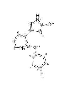 O=c1[nH]nc(-c2cccnc2Oc2ccc(F)cc2)o1